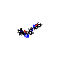 COc1cccc2c1C(Nc1ccc3cc(NC(=O)N[C@@H]4C[C@H]5CC[C@@H](C4)N5C(C)C)ccc3n1)CC2